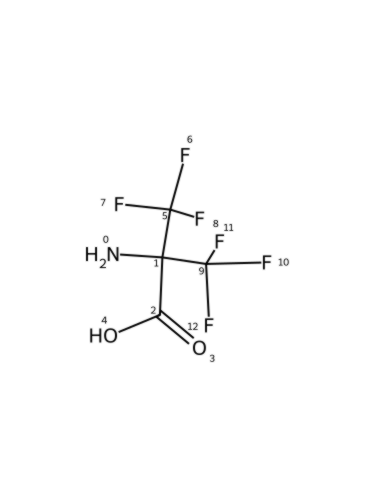 NC(C(=O)O)(C(F)(F)F)C(F)(F)F